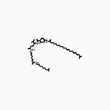 C=C(C)CCCCCCCCCCCCCCCCCCC(=C)NCC1CCC(C(=C)NC(CCC(=C)NCCCCCCCC(=C)NCCCCCCCC(=C)C)C(=C)C)CC1